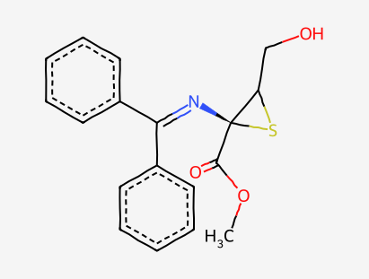 COC(=O)[C@@]1(N=C(c2ccccc2)c2ccccc2)SC1CO